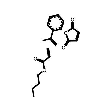 C=C(C)c1ccccc1.C=CC(=O)OCCCC.O=C1C=CC(=O)O1